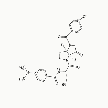 CC(C)C[C@H](NC(=O)c1ccc(N(C)C)cc1)C(=O)N1CC[C@@H]2[C@H]1C(=O)CN2C(=O)c1cc[n+]([O-])cc1